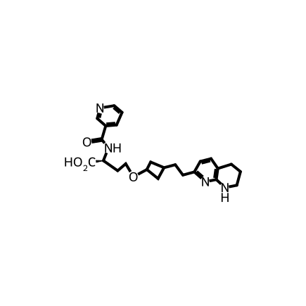 O=C(N[C@@H](CCOC1CC(CCc2ccc3c(n2)NCCC3)C1)C(=O)O)c1cccnc1